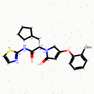 COc1ccccc1OC1=CC(=O)N([C@@H](CC2CCCC2)C(=O)Nc2nccs2)C1